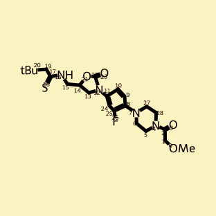 COCC(=O)N1CCN(c2ccc(N3CC(CNC(=S)CC(C)(C)C)OC3=O)cc2F)CC1